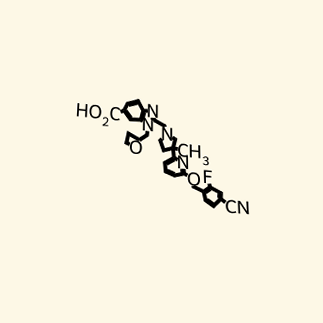 CC1(c2cccc(OCc3ccc(C#N)cc3F)n2)CCN(Cc2nc3ccc(C(=O)O)cc3n2CC2CCO2)C1